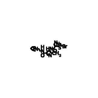 Cc1ncc(C(=O)NCCN2CC3CC(C3)C2)cc1NC(=O)c1cnn2cc(Br)sc12